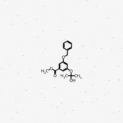 COC(=O)c1cc(OCc2ccccc2)cc(OC(C)(C)O)c1